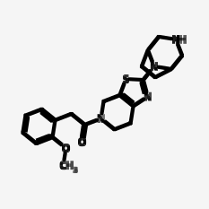 COc1ccccc1CC(=O)N1CCc2nc(N3C4CCC3CNC4)sc2C1